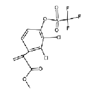 C=C(C(=O)OC)c1ccc(OS(=O)(=O)C(F)(F)F)c(Cl)c1Cl